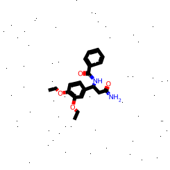 CCOc1ccc(C(CC(N)=O)NC(=O)c2ccccc2)cc1OCC